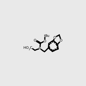 CC(C)(C)OC(=O)N(CC(=O)O)Cc1ccc2c(c1)OCO2